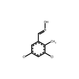 Cc1c(Cl)cc(Cl)cc1C=NO